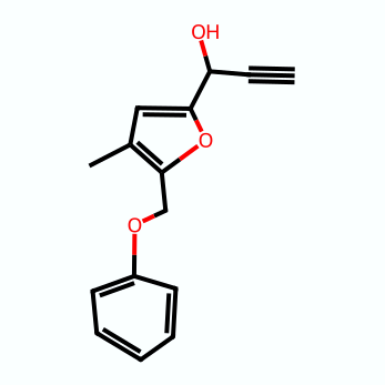 C#CC(O)c1cc(C)c(COc2ccccc2)o1